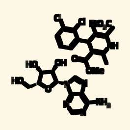 CCOC(=O)C1=C(C)NC(C)=C(C(=O)OC)C1c1cccc(Cl)c1Cl.Nc1ncnc2c1ncn2[C@@H]1O[C@H](CO)[C@@H](O)[C@H]1O